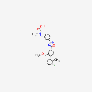 COCc1cc(-c2nc(-c3cccc(CN(C)CC(=O)O)c3)no2)ccc1-c1cccc(F)c1C